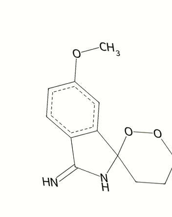 COc1ccc2c(c1)C1(CCCOO1)NC2=N